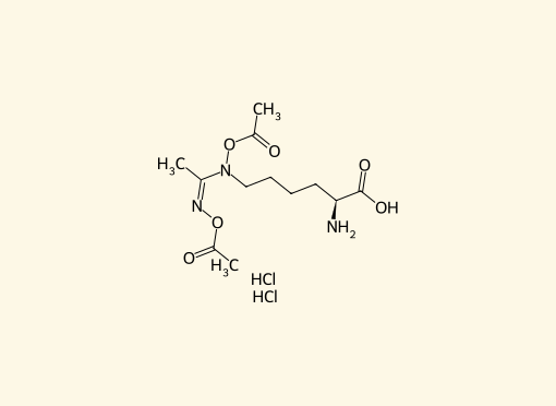 CC(=O)O/N=C(/C)N(CCCC[C@H](N)C(=O)O)OC(C)=O.Cl.Cl